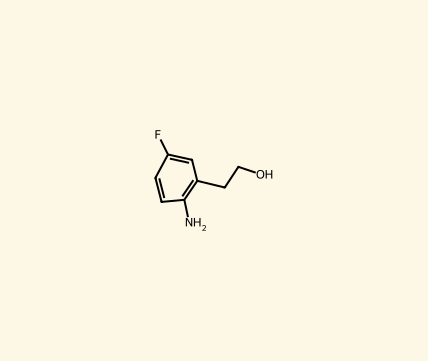 Nc1ccc(F)cc1CCO